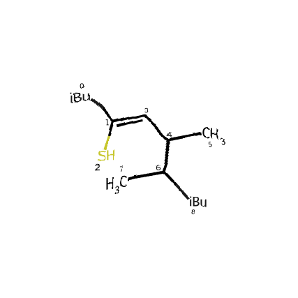 CCC(C)/C(S)=C/C(C)C(C)C(C)CC